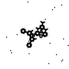 Cc1cc(-c2ccccc2)cc2c3cc(-c4ccccc4)cc(C)c3n(-c3ccc4c(c3)Oc3ccccc3B4c3c(C(C)C)cc(C(C)C)cc3C(C)C)c12